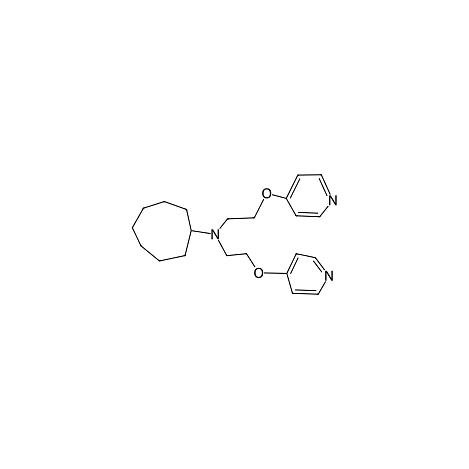 c1cc(OCCN(CCOc2ccncc2)C2CCCCCCC2)ccn1